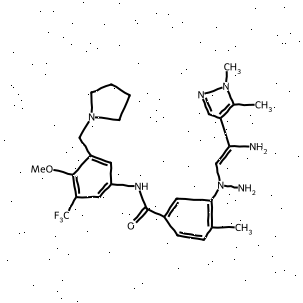 COc1c(CN2CCCC2)cc(NC(=O)c2ccc(C)c(N(N)/C=C(\N)c3cnn(C)c3C)c2)cc1C(F)(F)F